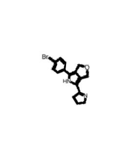 Brc1ccc(-c2[nH]c(C3=NCCC3)c3c2COC3)cc1